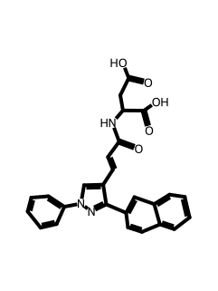 O=C(O)CC(NC(=O)/C=C/c1cn(-c2ccccc2)nc1-c1ccc2ccccc2c1)C(=O)O